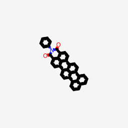 O=C1c2ccc3c4ccc5c6cccc7cccc(c8ccc(c9ccc(c2c39)C(=O)N1c1ccccc1)c4c58)c76